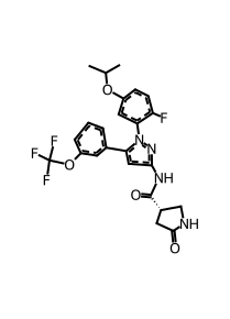 CC(C)Oc1ccc(F)c(-n2nc(NC(=O)[C@@H]3CNC(=O)C3)cc2-c2cccc(OC(F)(F)F)c2)c1